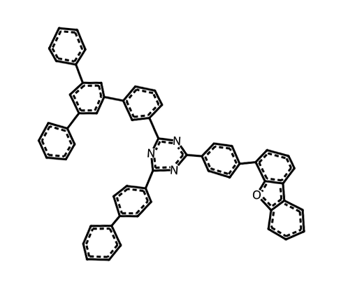 c1ccc(-c2ccc(-c3nc(-c4ccc(-c5cccc6c5oc5ccccc56)cc4)nc(-c4cccc(-c5cc(-c6ccccc6)cc(-c6ccccc6)c5)c4)n3)cc2)cc1